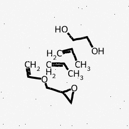 C=CC.C=CC.C=COCC1CO1.OCCO